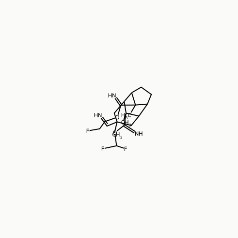 CC1(C=N)CC2C3CCC(C(C1)C2(C)C(=N)OC(F)F)C3(C)C(=N)OCCF